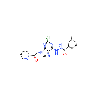 Cc1cccc(C(=O)NNc2nc(Cl)nc3c2ncn3CC(=O)c2ccccn2)c1